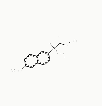 CCCO[C@@H](C)[C@](C)(C(=O)O)c1ccc2cc(OC)ccc2c1